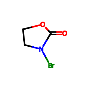 O=C1OCCN1Br